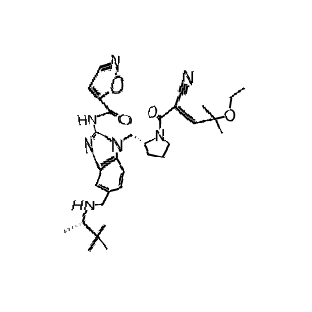 CCOC(C)(C)/C=C(\C#N)C(=O)N1CCC[C@@H]1Cn1c(NC(=O)c2ccno2)nc2cc(CN[C@@H](C)C(C)(C)C)ccc21